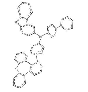 c1ccc(-c2ccc(N(c3ccc(-c4cccc5c4-c4ccccc4Oc4ccccc4-5)cc3)c3ccc4oc5ccccc5c4c3)cc2)cc1